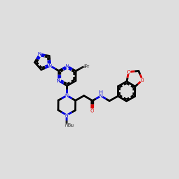 CCCCN1CCN(c2cc(C(C)C)nc(-n3ccnc3)n2)C(CC(=O)NCc2ccc3c(c2)OCO3)C1